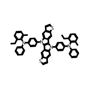 CCc1cccc(C)c1N(c1ccccc1)c1ccc(-n2c3cc4ccsc4cc3c3c2c2cc4sccc4cc2n3-c2ccc(N(c3ccccc3)c3c(C)cccc3CC)cc2)cc1